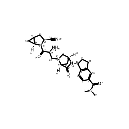 CN(C)C(=O)c1ccc2c(c1)CC[C@H]2N1C(=O)[C@@H]2C[C@H]1CN2C[C@H](N)C(=O)N1[C@H](C#N)CC2C[C@@H]21